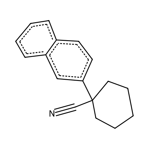 N#CC1(c2ccc3ccccc3c2)CCCCC1